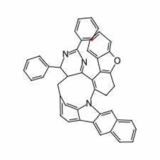 c1ccc(C2=NC(c3ccccc3)C3Cc4ccc5c6cc7ccccc7cc6n(c5c4)C4=C(C3=N2)c2c(oc3ccccc23)CC4)cc1